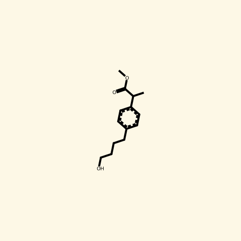 COC(=O)C(C)c1ccc(CCCCO)cc1